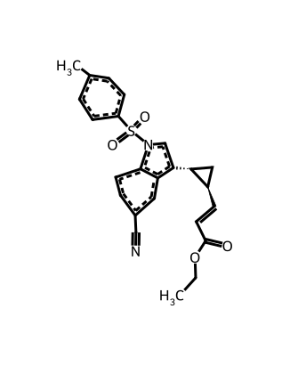 CCOC(=O)C=C[C@@H]1C[C@H]1c1cn(S(=O)(=O)c2ccc(C)cc2)c2ccc(C#N)cc12